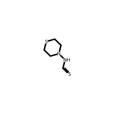 S=CNN1CCSCC1